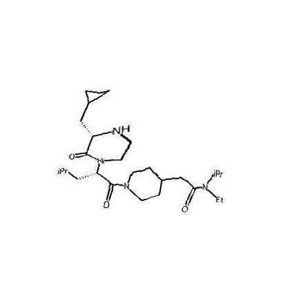 CCN(C(=O)CC1CCN(C(=O)[C@H](CC(C)C)N2CCN[C@@H](CC3CC3)C2=O)CC1)C(C)C